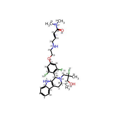 C[C@@H]1Cc2c([nH]c3ccccc23)[C@@H](c2c(F)cc(OCCNC/C=C/C(=O)N(C)C)cc2F)N1CC(C)(F)CO